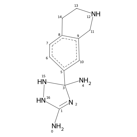 NC1=NC(N)(c2ccc3c(c2)CNCC3)NN1